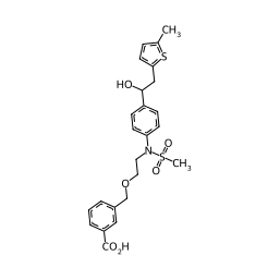 Cc1ccc(CC(O)c2ccc(N(CCOCc3cccc(C(=O)O)c3)S(C)(=O)=O)cc2)s1